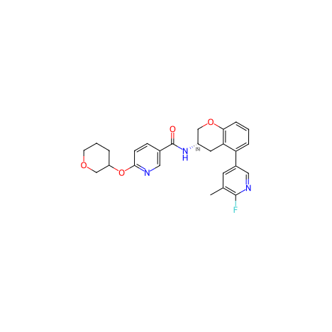 Cc1cc(-c2cccc3c2C[C@H](NC(=O)c2ccc(OC4CCCOC4)nc2)CO3)cnc1F